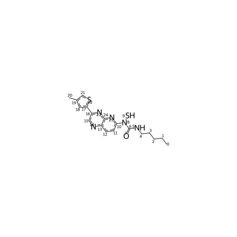 CCCCCNC(=O)N(S)c1ccc2ncc(-c3cc(C)cs3)nc2n1